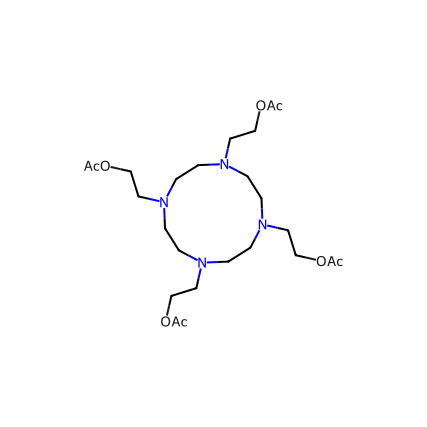 CC(=O)OCCN1CCN(CCOC(C)=O)CCN(CCOC(C)=O)CCN(CCOC(C)=O)CC1